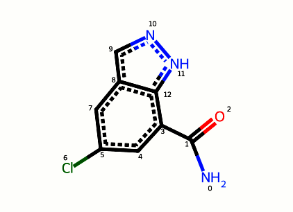 NC(=O)c1cc(Cl)cc2cn[nH]c12